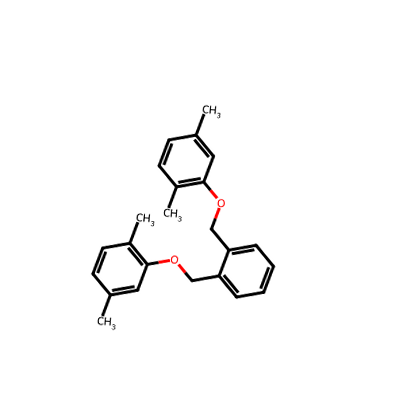 Cc1ccc(C)c(OCc2ccccc2COc2cc(C)ccc2C)c1